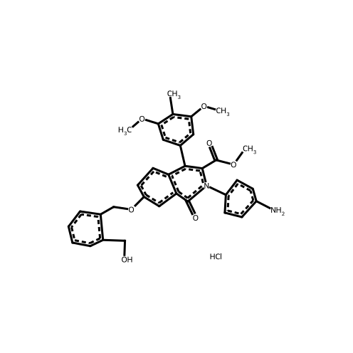 COC(=O)c1c(-c2cc(OC)c(C)c(OC)c2)c2ccc(OCc3ccccc3CO)cc2c(=O)n1-c1ccc(N)cc1.Cl